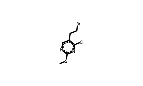 CSc1ncc(CCBr)c(Cl)n1